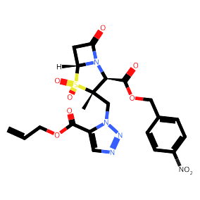 C=CCOC(=O)c1cnnn1C[C@@]1(C)[C@H](C(=O)OCc2ccc([N+](=O)[O-])cc2)N2C(=O)C[C@H]2S1(=O)=O